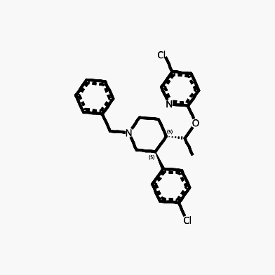 CC(Oc1ccc(Cl)cn1)[C@H]1CCN(Cc2ccccc2)C[C@@H]1c1ccc(Cl)cc1